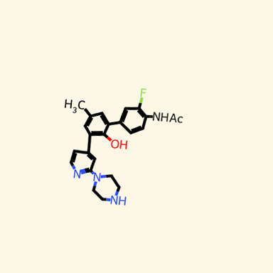 CC(=O)Nc1ccc(-c2cc(C)cc(-c3ccnc(N4CCNCC4)c3)c2O)cc1F